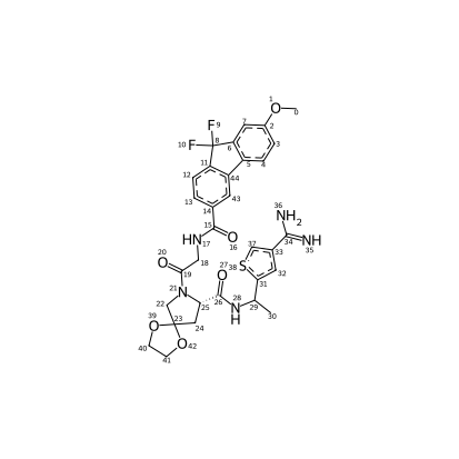 COc1ccc2c(c1)C(F)(F)c1ccc(C(=O)NCC(=O)N3CC4(C[C@H]3C(=O)NC(C)c3cc(C(=N)N)cs3)OCCO4)cc1-2